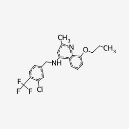 CCCOc1cccc2c(NCc3ccc(C(F)(F)F)c(Cl)c3)cc(C)nc12